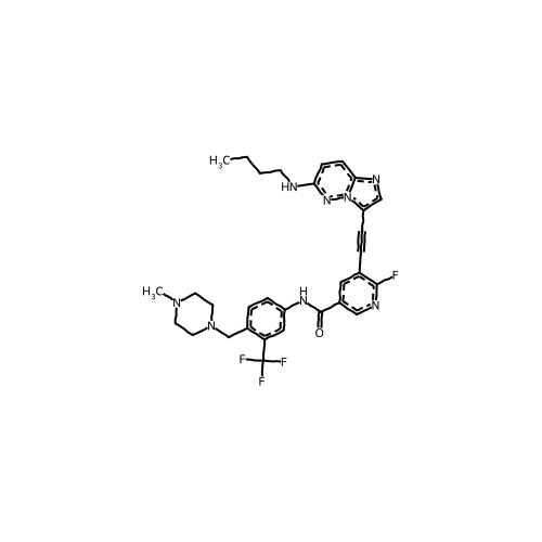 CCCCNc1ccc2ncc(C#Cc3cc(C(=O)Nc4ccc(CN5CCN(C)CC5)c(C(F)(F)F)c4)cnc3F)n2n1